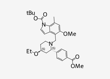 CCO[C@H]1CCN(Cc2c(OC)cc(C)c3c2ccn3C(=O)OC(C)(C)C)[C@H](c2ccc(C(=O)OC)cc2)C1